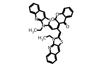 CCN1C(=CC(C=C2Sc3cc4ccccc4nc3N2CC)=C2C(=O)Oc3ccccc3C2=O)Sc2cc3ccccc3nc21